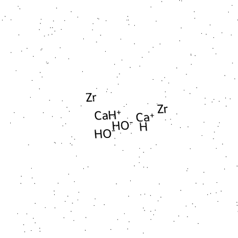 [CaH+].[CaH+].[OH-].[OH-].[Zr].[Zr]